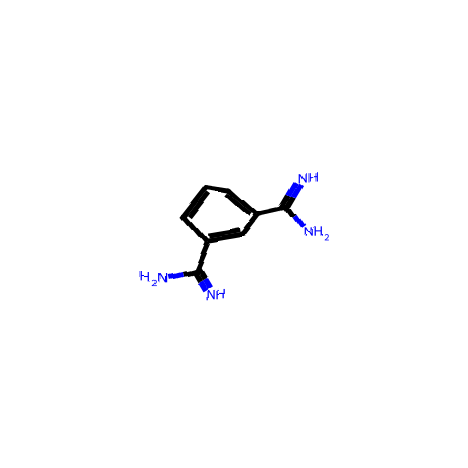 N=C(N)c1cccc(C(=N)N)c1